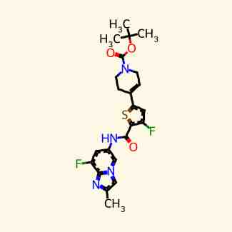 Cc1cn2cc(NC(=O)c3sc(C4=CCN(C(=O)OC(C)(C)C)CC4)cc3F)cc(F)c2n1